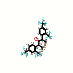 O=C(C(CBr)c1ccc(C(F)(F)F)cc1C(F)(F)F)C(CBr)c1ccc(C(F)(F)F)cc1C(F)(F)F